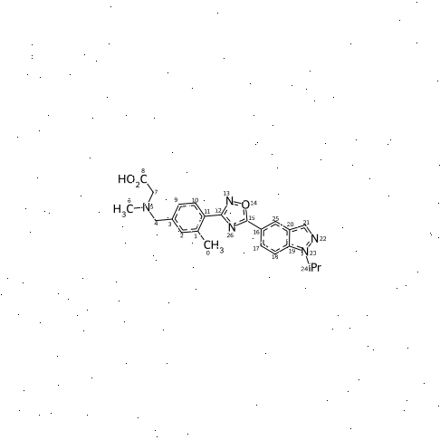 Cc1cc(CN(C)CC(=O)O)ccc1-c1noc(-c2ccc3c(cnn3C(C)C)c2)n1